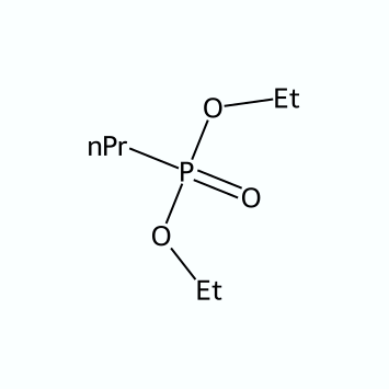 CCCP(=O)(OCC)OCC